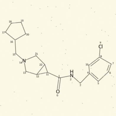 O=C(NCc1cccc(Cl)c1)C1C2CN(CC3CCCC3)CC21